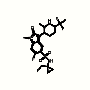 CN1NC(C(F)(F)F)CCC1n1c(=O)n(C)c2cc(F)c(S(=O)(=O)NC3(CF)CC3)cc21